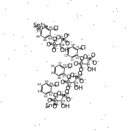 O=P([O-])([O-])C(O)P(=O)([O-])Oc1ccccc1Cl.O=P([O-])([O-])C(O)P(=O)([O-])Oc1ccccc1Cl.O=P([O-])([O-])C(O)P(=O)([O-])Oc1ccccc1Cl.O=P([O-])([O-])C(O)P(=O)([O-])Oc1ccccc1Cl.[Sn+4].[Sn+4].[Sn+4]